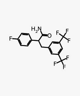 NC(=O)C(Cc1cc(C(F)(F)F)cc(C(F)(F)F)c1)c1ccc(F)cc1